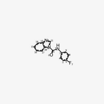 O=C(Nc1ccc(F)cc1)n1cnc2ccccc21